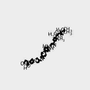 Cc1cc(-c2cc(Nc3ccc(N4CCC5(CC4)CN(CC4CCN(c6ccc(N7CCC(=O)NC7=O)cc6)CC4)C5)cn3)ncn2)ccc1[C@@H](C)NC(=O)c1nc(C(C)(C)C)no1